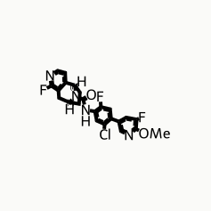 COc1ncc(-c2cc(F)c(NC(=O)N3[C@H]4CC[C@@H]3c3ccnc(F)c3C4)cc2Cl)cc1F